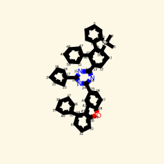 C[Si]1(C)c2ccccc2-c2c1ccc(-c1nc(-c3ccccc3)nc(-c3ccc4oc5cccc(-c6ccccc6)c5c4c3)n1)c2-c1ccccc1